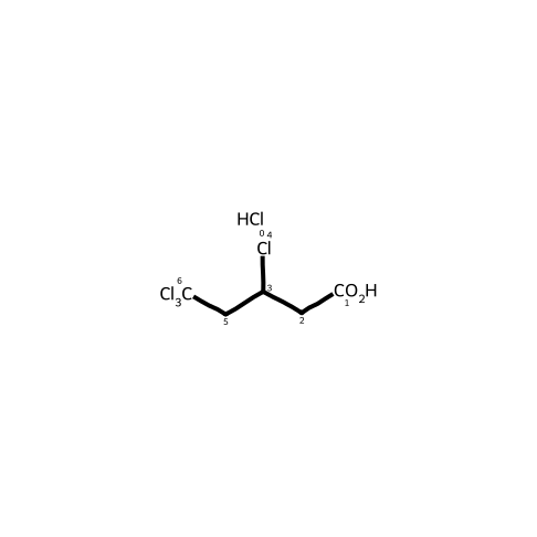 Cl.O=C(O)CC(Cl)CC(Cl)(Cl)Cl